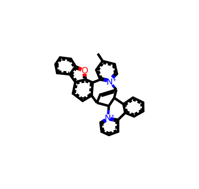 Cc1cc[n+]2c(c1)-c1c(ccc3c1oc1ccccc13)C1C=C2C2c3ccccc3-c3cccc[n+]3C12